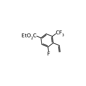 C=Cc1c(F)cc(C(=O)OCC)cc1C(F)(F)F